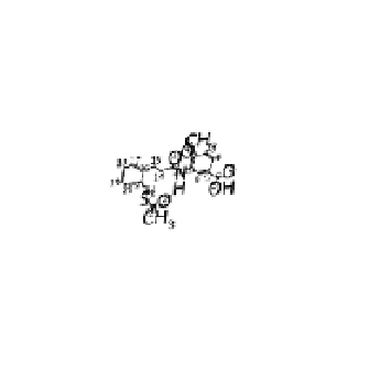 COc1ccc(C(=O)O)cc1NC(=O)CCc1ccccc1CSC(C)=O